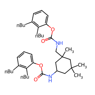 CCCCc1cccc(OC(=O)NCC2(C)CC(NC(=O)Oc3cccc(CCCC)c3CCCC)CC(C)(C)C2)c1CCCC